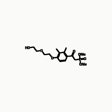 COP(=O)(CC(=O)c1ccc(OCCOCCO)c(C)c1C)OC